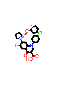 O=C(O)c1cn(-c2ccc(Cl)cc2)c2cc(N3CCC[C@@H]3COc3ccccn3)c(F)cc2c1=O